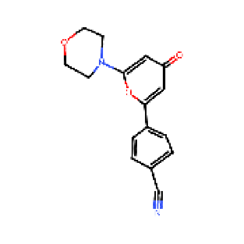 N#Cc1ccc(-c2cc(=O)cc(N3CCOCC3)o2)cc1